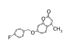 Cc1cc(=O)oc2cc(OCc3ccc(F)cc3)ccc12